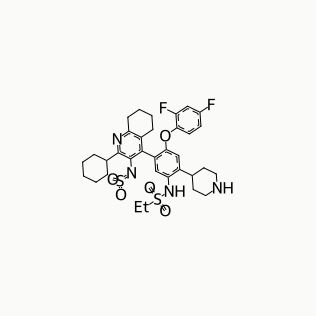 CCS(=O)(=O)Nc1cc(-c2c3c(nc(C4CCCCC4)c2N=S(=O)=O)CCCC3)c(Oc2ccc(F)cc2F)cc1C1CCNCC1